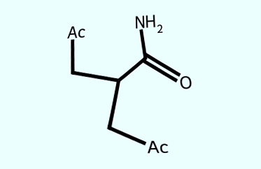 CC(=O)CC(CC(C)=O)C(N)=O